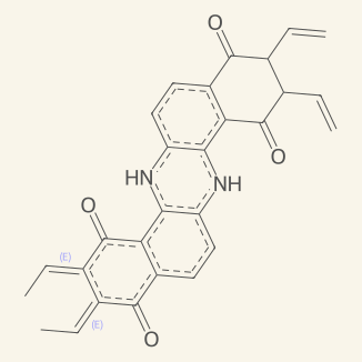 C=CC1C(=O)c2ccc3[nH]c4c(ccc5c(=O)c(=C/C)/c(=C\C)c(=O)c54)[nH]c3c2C(=O)C1C=C